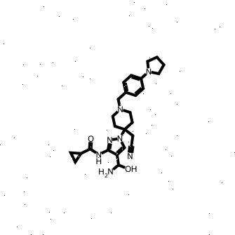 N#CCC1(n2cc(C(N)O)c(NC(=O)C3CC3)n2)CCN(Cc2ccc(N3CCCC3)cc2)CC1